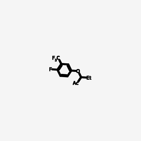 CCC(Oc1ccc(F)c(C(F)(F)F)c1)C(C)=O